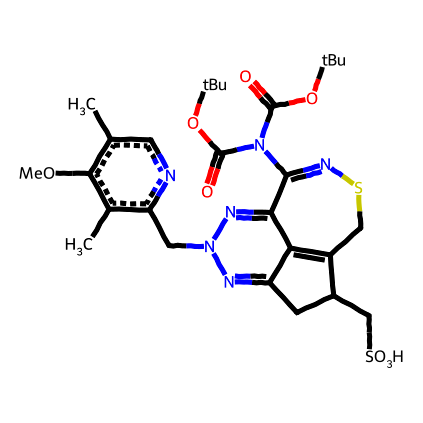 COc1c(C)cnc(CN2N=C3CC(CS(=O)(=O)O)C4=C3C(=N2)C(N(C(=O)OC(C)(C)C)C(=O)OC(C)(C)C)=NSC4)c1C